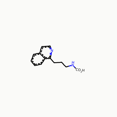 O=C(O)NCCCc1nccc2ccccc12